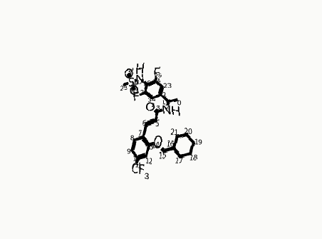 CC(NC(=O)C=Cc1ccc(C(F)(F)F)cc1OCC1CCCCC1)c1cc(F)c(NS(C)(=O)=O)c(F)c1